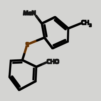 CNc1cc(C)ccc1Sc1ccccc1C=O